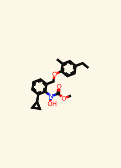 CCc1ccc(OCc2cccc(C3CC3)c2N(O)C(=O)OC)c(C)c1